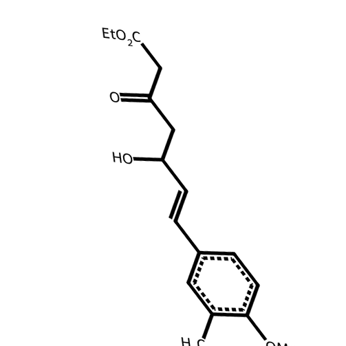 CCOC(=O)CC(=O)CC(O)/C=C/c1ccc(OC)c(C)c1